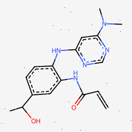 C=CC(=O)Nc1cc(C(C)O)ccc1Nc1cc(N(C)C)ncn1